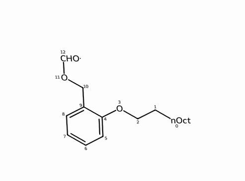 CCCCCCCCCCOc1ccccc1CO[C]=O